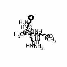 C[N][C@H](C=O)CCCNC(=N)NC(=O)[C@H](CCCNC(=N)N)NC(=O)[C@H](CC(C)C)NC(=O)[C@@H](N)Cc1ccccc1